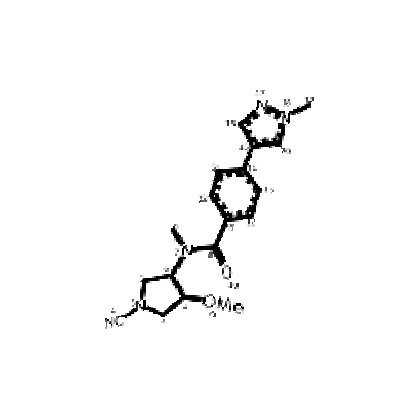 COC1CN(C#N)CC1N(C)C(=O)c1ccc(-c2cnn(C)c2)cc1